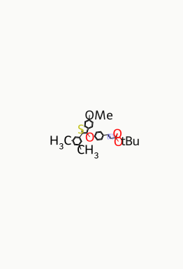 COc1ccc2c(Oc3ccc(/C=C/C(=O)OC(C)(C)C)cc3)c(-c3cc(C)cc(C)c3)sc2c1